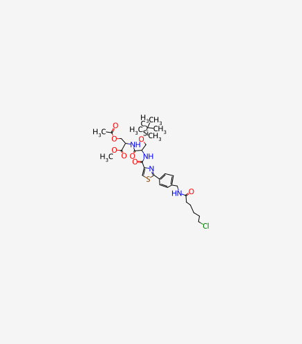 COC(=O)C(COC(C)=O)NC(=O)C(CO[Si](C)(C)C(C)(C)C)NC(=O)c1csc(-c2ccc(CNC(=O)CCCCCCl)cc2)n1